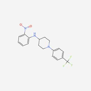 O=[N+]([O-])c1ccccc1NC1CCN(c2[c]cc(C(F)(F)F)cc2)CC1